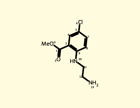 COC(=O)c1cc(Cl)ccc1NCCN